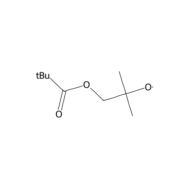 CC(C)([O])COC(=O)C(C)(C)C